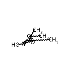 CCCCCCCCCCCCCCCC(=O)OCC(COC(=O)C(CCCCCC)CCCCCCCC)N1CCC2(CCN(CCCCO)CC2)CC1